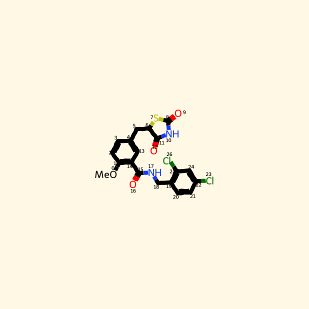 COc1ccc(CC2SC(=O)NC2=O)cc1C(=O)NCc1ccc(Cl)cc1Cl